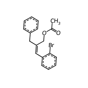 CC(=O)OCC(=Cc1ccccc1Br)Cc1ccccc1